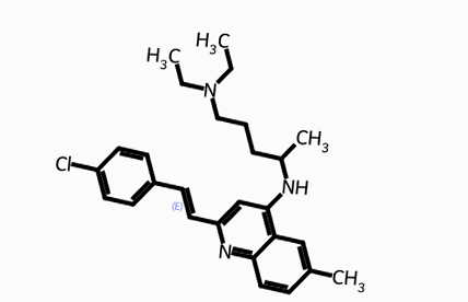 CCN(CC)CCCC(C)Nc1cc(/C=C/c2ccc(Cl)cc2)nc2ccc(C)cc12